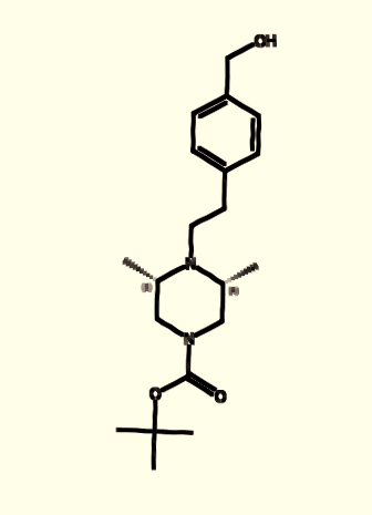 C[C@@H]1CN(C(=O)OC(C)(C)C)C[C@H](C)N1CCc1ccc(CO)cc1